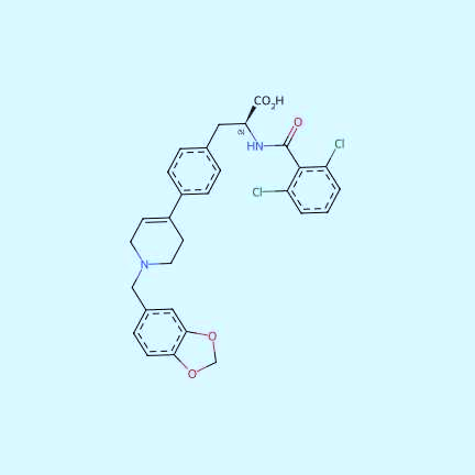 O=C(N[C@@H](Cc1ccc(C2=CCN(Cc3ccc4c(c3)OCO4)CC2)cc1)C(=O)O)c1c(Cl)cccc1Cl